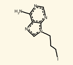 Nc1ncnc2c1ncn2CCCI